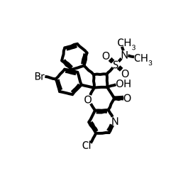 CN(C)S(=O)(=O)C1C(c2ccccc2)C2(c3ccc(Br)cc3)Oc3cc(Cl)cnc3C(=O)C12O